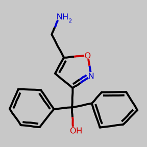 NCc1cc(C(O)(c2ccccc2)c2ccccc2)no1